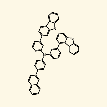 c1cc(-c2ccc3c(c2)sc2ccccc23)cc(N(c2ccc(-c3ccc4ccccc4c3)cc2)c2cccc(-c3cccc4sc5ccccc5c34)c2)c1